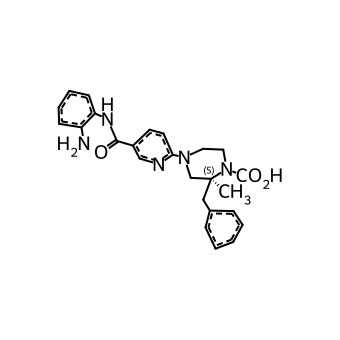 C[C@]1(Cc2ccccc2)CN(c2ccc(C(=O)Nc3ccccc3N)cn2)CCN1C(=O)O